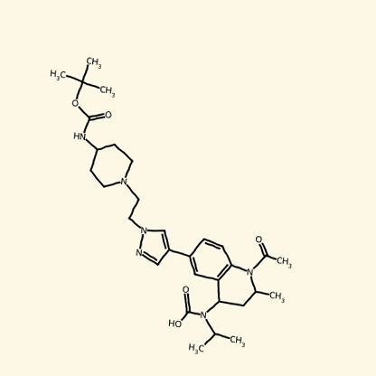 CC(=O)N1c2ccc(-c3cnn(CCN4CCC(NC(=O)OC(C)(C)C)CC4)c3)cc2C(N(C(=O)O)C(C)C)CC1C